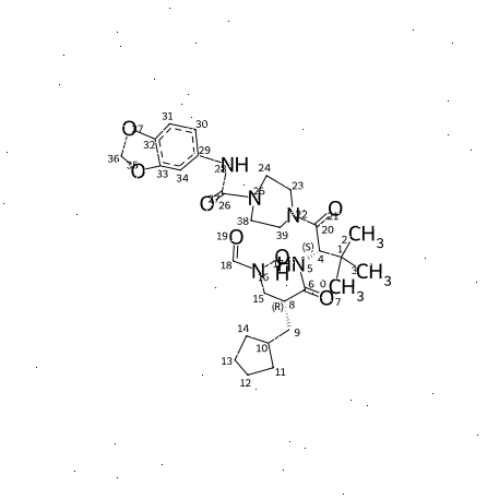 CC(C)(C)[C@H](NC(=O)[C@H](CC1CCCC1)CN(O)C=O)C(=O)N1CCN(C(=O)Nc2ccc3c(c2)OCO3)CC1